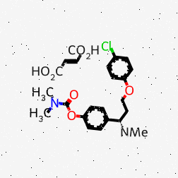 CN[C@@H](CCOc1ccc(Cl)cc1)c1ccc(OC(=O)N(C)C)cc1.O=C(O)/C=C/C(=O)O